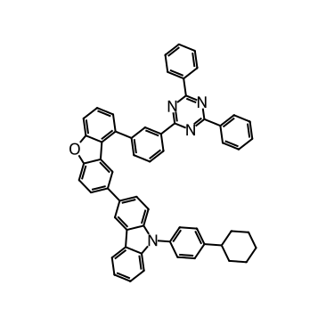 c1ccc(-c2nc(-c3ccccc3)nc(-c3cccc(-c4cccc5oc6ccc(-c7ccc8c(c7)c7ccccc7n8-c7ccc(C8CCCCC8)cc7)cc6c45)c3)n2)cc1